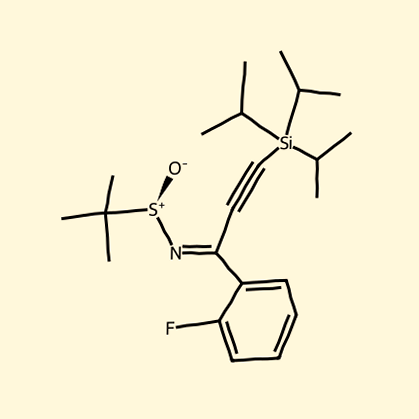 CC(C)[Si](C#C/C(=N\[S@+]([O-])C(C)(C)C)c1ccccc1F)(C(C)C)C(C)C